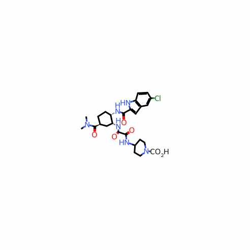 CN(C)C(=O)[C@H]1CC[C@H](NC(=O)c2cc3cc(Cl)ccc3[nH]2)[C@H](NC(=O)C(=O)NC2CCN(C(=O)O)CC2)C1